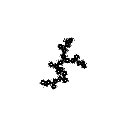 CC1(C)c2ccccc2-c2ccc(-n3c4ccccc4c4cc(-c5ccc6c(c5)c5ccccc5n6-c5cccc(-c6ccc7c8c(cccc68)-c6nc(-c8ccccc8)nc(-c8ccc(-n9c%10ccc(-c%11ccc%12c(c%11)c%11ccccc%11n%12-c%11ccc%12c(c%11)C(C)(C)c%11ccccc%11-%12)cc%10c%10cc(-c%11ccc%12c(c%11)c%11ccccc%11n%12-c%11ccc%12c(c%11)C(C)(C)c%11ccccc%11-%12)ccc%109)cc8)c6-7)c5)ccc43)cc21